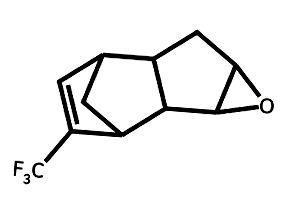 FC(F)(F)C1=CC2CC1C1C2CC2OC21